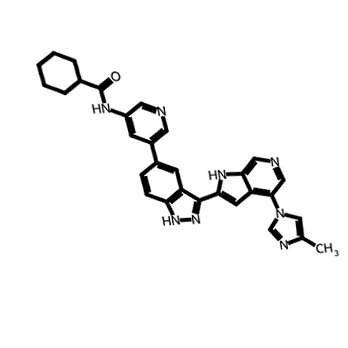 Cc1cn(-c2cncc3[nH]c(-c4n[nH]c5ccc(-c6cncc(NC(=O)C7CCCCC7)c6)cc45)cc23)cn1